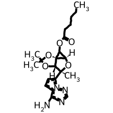 CCCCCC(=O)OC1[C@H]2O[C@@](C)(c3ccc4c(N)ncnn34)[C@@H]3OC(C)(C)O[C@]123